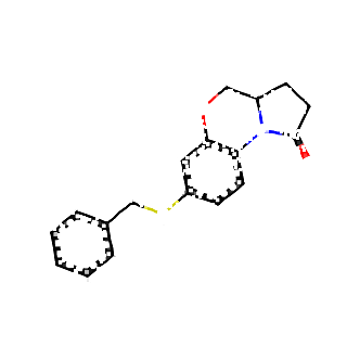 O=C1CCC2COc3cc(SCc4ccccc4)ccc3N12